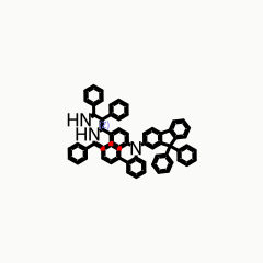 N=C(/C(=C1\NC(c2ccccc2)=Cc2cc(N(c3ccc4c(c3)C(c3ccccc3)(c3ccccc3)c3ccccc3-4)c3ccccc3-c3ccccc3)ccc21)c1ccccc1)c1ccccc1